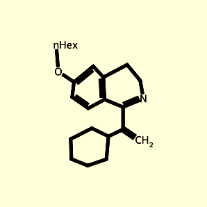 C=C(C1=NCCc2cc(OCCCCCC)ccc21)C1CCCCC1